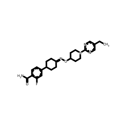 CCc1cnc(N2CCC(ON=C3CCC(c4ccc(C(N)=O)c(F)c4)CC3)CC2)nc1